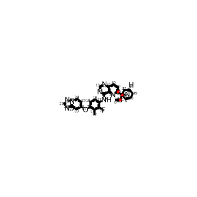 C=CC(=O)N1C2=C[C@@H](c3ccc4ncnc(Nc5ccc(Oc6ccn7ncnc7c6)c(C)c5F)c4n3)C[C@H]1C2